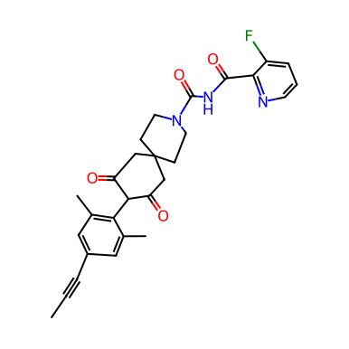 CC#Cc1cc(C)c(C2C(=O)CC3(CCN(C(=O)NC(=O)c4ncccc4F)CC3)CC2=O)c(C)c1